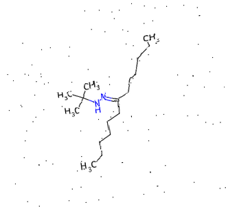 CCCCCCC(CCCCCC)=NNC(C)(C)C